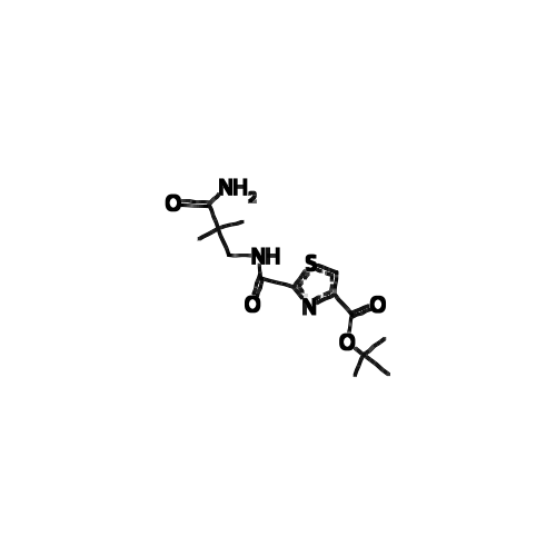 CC(C)(C)OC(=O)c1csc(C(=O)NCC(C)(C)C(N)=O)n1